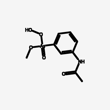 CO[As](=O)(OO)c1cccc(NC(C)=O)c1